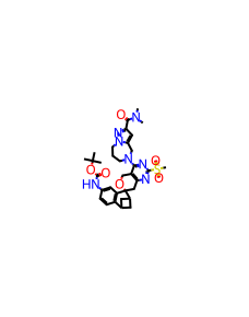 CN(C)C(=O)c1cc2n(n1)CCCN(c1nc(S(C)(=O)=O)nc3c1COC1(C3)c3cc(NC(=O)OC(C)(C)C)ccc3C3CC1C3)C2